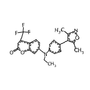 CCN(c1ccc(-c2c(C)noc2C)cc1)c1ccc2c(C(F)(F)F)cc(=O)oc2c1